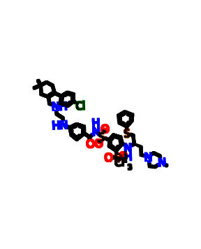 CN1CCN(CC[C@H](CSc2ccccc2)Nc2ccc(S(=O)(=O)NC(=O)c3ccc(NCCNCC4=C(c5ccc(Cl)cc5)CCC(C)(C)C4)cc3)cc2S(=O)(=O)C(F)(F)F)CC1